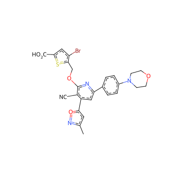 Cc1cc(-c2cc(-c3ccc(N4CCOCC4)cc3)nc(OCc3sc(C(=O)O)cc3Br)c2C#N)on1